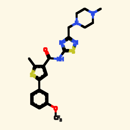 Cc1sc(-c2cccc(OC(F)(F)F)c2)cc1C(=O)Nc1nc(CN2CCN(C)CC2)ns1